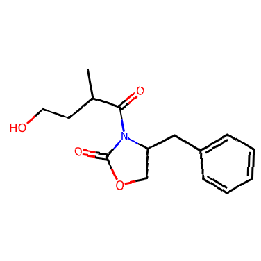 CC(CCO)C(=O)N1C(=O)OCC1Cc1ccccc1